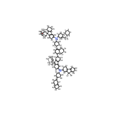 CC1(C)c2ccccc2-c2ccc(N(c3ccc(-c4ccc(-c5ccc6c(c5)C5(c7ccc(N(c8ccc(-c9ccc%10ccccc%10c9)cc8)c8ccc9c(c8)C(C)(C)c8ccccc8-9)cc7-6)C6CC7CC(C6)CC5C7)c5ccccc45)cc3)c3ccc4c(c3)-c3ccccc3C43C4CC5CC(C4)CC3C5)cc21